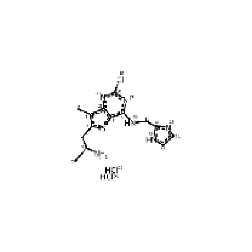 Cc1c(C[C@H](C)N)sc2c(NCc3ncc[nH]3)nc(Cl)nc12.Cl.Cl